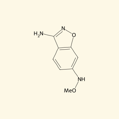 CONc1ccc2c(N)noc2c1